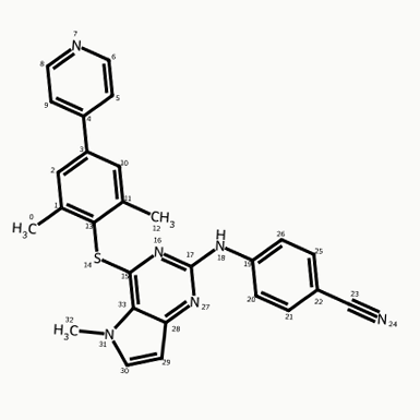 Cc1cc(-c2ccncc2)cc(C)c1Sc1nc(Nc2ccc(C#N)cc2)nc2ccn(C)c12